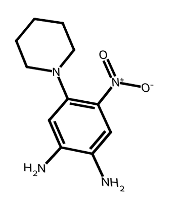 Nc1cc(N2CCCCC2)c([N+](=O)[O-])cc1N